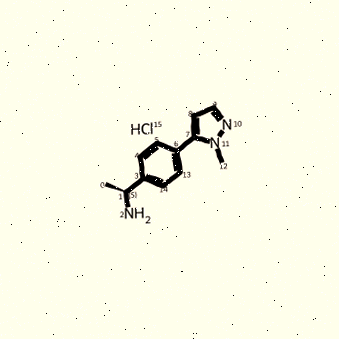 C[C@H](N)c1ccc(-c2ccnn2C)cc1.Cl